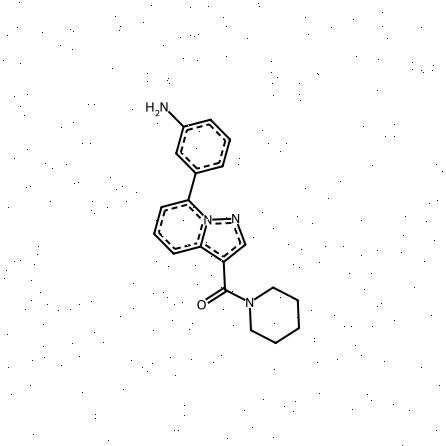 Nc1cccc(-c2cccc3c(C(=O)N4CCCCC4)cnn23)c1